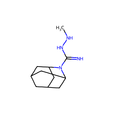 CNNC(=N)N1C2CC3CC(C2)CC1C3